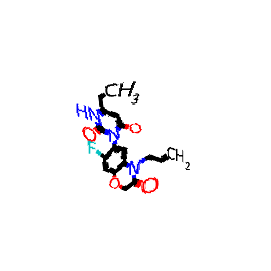 C=CCN1C(=O)COc2cc(F)c(-n3c(=O)cc(CC)[nH]c3=O)cc21